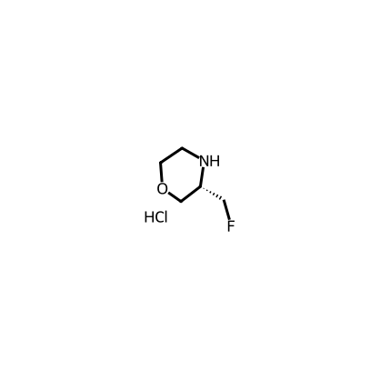 Cl.FC[C@@H]1COCCN1